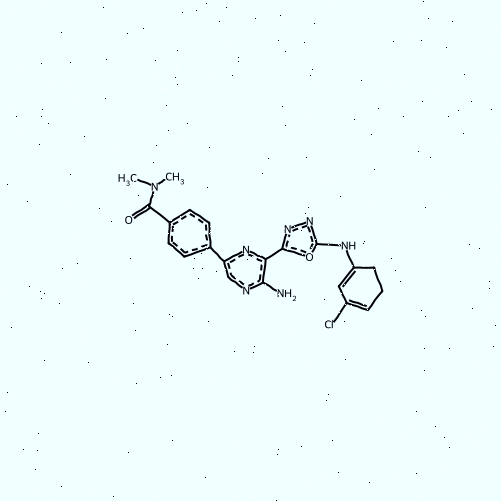 CN(C)C(=O)c1ccc(-c2cnc(N)c(-c3nnc(NC4=CC(Cl)=CCC4)o3)n2)cc1